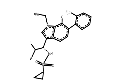 CC(C)(C)Cn1cc([C@H](NS(=O)(=O)C2CC2)C(F)F)c2ccc(-c3ccccc3C(F)(F)F)c(F)c21